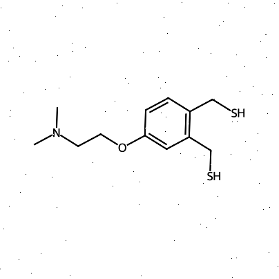 CN(C)CCOc1ccc(CS)c(CS)c1